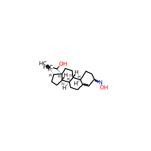 C#C[C@H]1CC[C@H]2[C@@H]3CCC4=CC(=NO)CC[C@@H]4[C@H]3CC[C@]12C(C)O